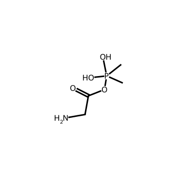 CP(C)(O)(O)OC(=O)CN